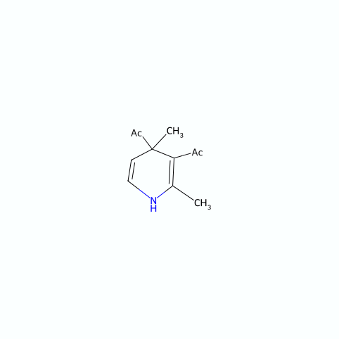 CC(=O)C1=C(C)NC=CC1(C)C(C)=O